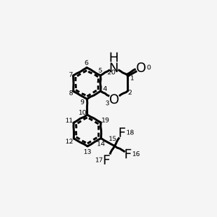 O=C1COc2c(cccc2-c2cccc(C(F)(F)F)c2)N1